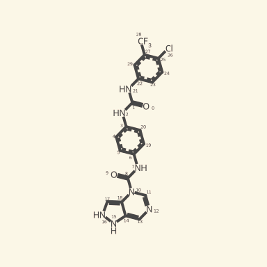 O=C(Nc1ccc(NC(=O)N2C=NC=C3NNC=C32)cc1)Nc1ccc(Cl)c(C(F)(F)F)c1